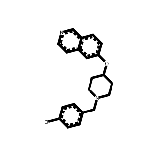 Clc1ccc(CN2CCC(Oc3ccc4cnccc4c3)CC2)cc1